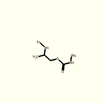 CCCCNC(=O)OCC(C)NCC